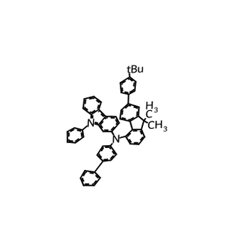 CC(C)(C)c1ccc(-c2ccc3c(c2)C(C)(C)c2cccc(N(c4ccc(-c5ccccc5)cc4)c4ccc5c6ccccc6n(-c6ccccc6)c5c4)c2-3)cc1